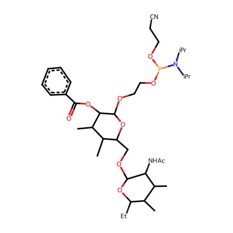 CCC1OC(OCC2OC(OCCOP(OCCC#N)N(C(C)C)C(C)C)C(OC(=O)c3ccccc3)C(C)C2C)C(NC(C)=O)C(C)C1C